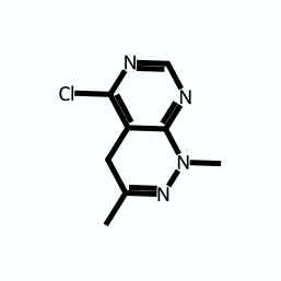 CC1=NN(C)c2ncnc(Cl)c2C1